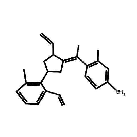 Bc1ccc(/C(C)=C2\CC(c3c(C)cccc3C=C)CC2C=C)c(C)c1